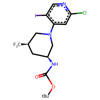 CC(C)(C)OC(=O)N[C@H]1C[C@@H](C(F)(F)F)CN(c2cc(Cl)ncc2I)C1